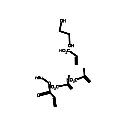 C=C(C)C(=O)O.C=C(C)C(=O)O.C=CC(=O)O.C=CC(=O)OCCCC.OCCO